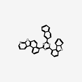 C1=CC2Oc3cccc(-c4nc(-c5ccc6ccccc6c5)nc(-c5cccc6c5ccc5oc7ncccc7c56)n4)c3C2C=C1